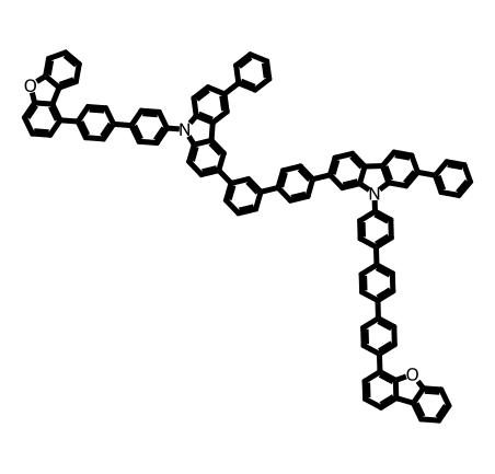 c1ccc(-c2ccc3c(c2)c2cc(-c4cccc(-c5ccc(-c6ccc7c8ccc(-c9ccccc9)cc8n(-c8ccc(-c9ccc(-c%10ccc(-c%11cccc%12c%11oc%11ccccc%11%12)cc%10)cc9)cc8)c7c6)cc5)c4)ccc2n3-c2ccc(-c3ccc(-c4cccc5oc6ccccc6c45)cc3)cc2)cc1